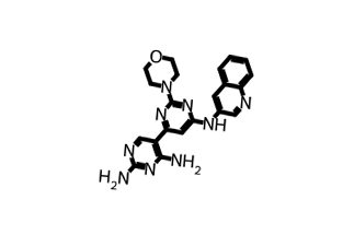 Nc1ncc(-c2cc(Nc3cnc4ccccc4c3)nc(N3CCOCC3)n2)c(N)n1